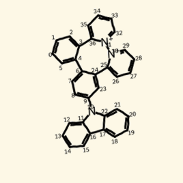 c1ccc2c(c1)-c1ccc(-n3c4ccccc4c4ccccc43)cc1-c1cccc[n+]1-[n+]1ccccc1-2